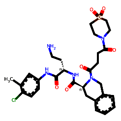 Cc1cc(NC(=O)[C@H](CCN)NC(=O)[C@@H]2Cc3ccccc3CN2C(=O)CCC(=O)N2CCS(=O)(=O)CC2)ccc1Cl